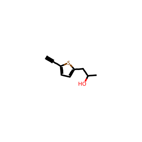 C#Cc1ccc(CC(C)O)s1